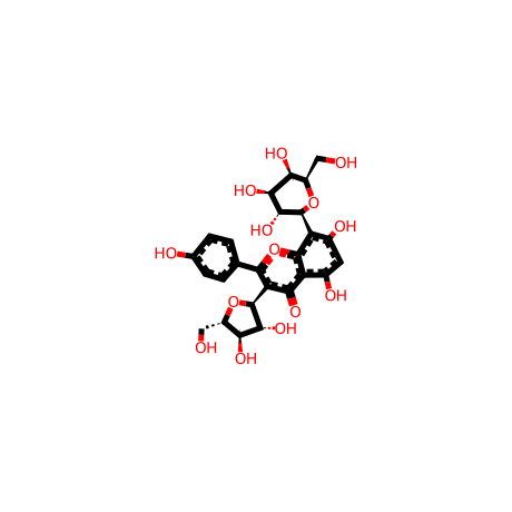 O=c1c([C@@H]2O[C@@H](CO)[C@H](O)[C@H]2O)c(-c2ccc(O)cc2)oc2c([C@@H]3O[C@H](CO)[C@H](O)[C@H](O)[C@H]3O)c(O)cc(O)c12